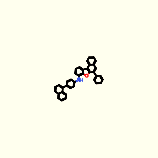 c1ccc(-c2cc3ccccc3c3c2oc2c(Nc4ccc(-c5cccc6ccccc56)cc4)cccc23)cc1